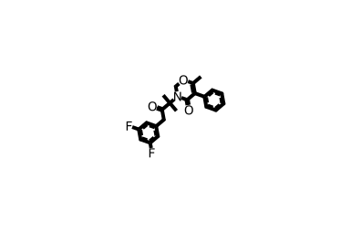 CC1=C(c2ccccc2)C(=O)N(C(C)(C)C(=O)Cc2cc(F)cc(F)c2)CO1